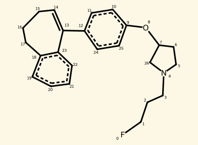 FCCCN1CCC(Oc2ccc(C3=CCCCc4ccccc43)cc2)C1